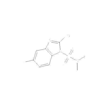 CN(C)S(=O)(=O)n1c(C#N)nc2cc(C(F)(F)F)ccc21